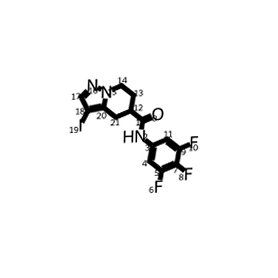 O=C(Nc1cc(F)c(F)c(F)c1)C1CCn2ncc(I)c2C1